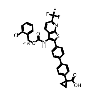 C[C@@H](OC(=O)Nc1c(-c2ccc(-c3ccc(C4(C(=O)O)CC4)cc3)cc2)sc2nc(C(F)(F)F)ccc12)c1ccccc1Cl